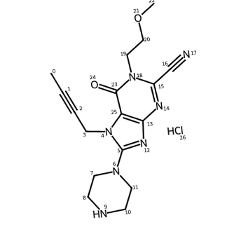 CC#CCn1c(N2CCNCC2)nc2nc(C#N)n(CCOC)c(=O)c21.Cl